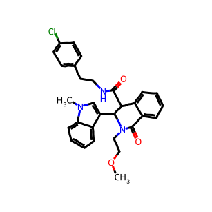 COCCN1C(=O)c2ccccc2C(C(=O)NCCc2ccc(Cl)cc2)C1c1cn(C)c2ccccc12